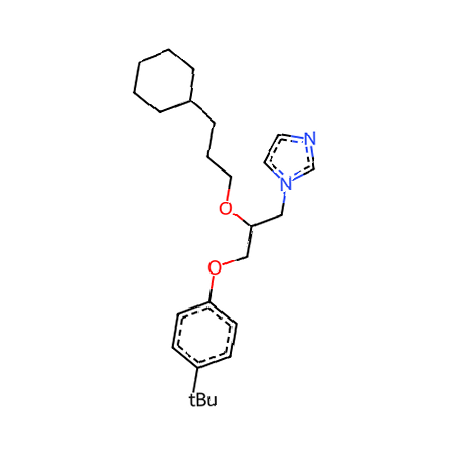 CC(C)(C)c1ccc(OCC(Cn2ccnc2)OCCCC2CCCCC2)cc1